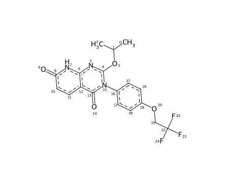 CC(C)Oc1nc2[nH]c(=O)ccc2c(=O)n1-c1ccc(OCC(F)(F)F)cc1